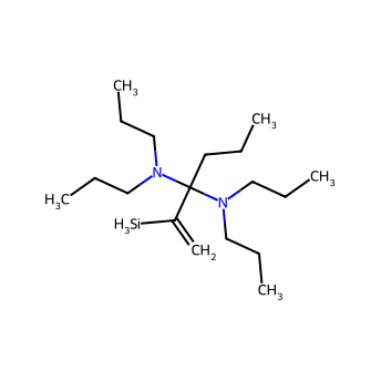 C=C([SiH3])C(CCC)(N(CCC)CCC)N(CCC)CCC